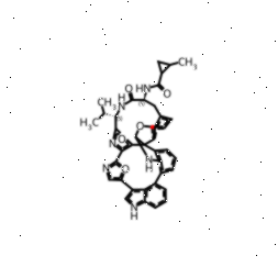 CC1CC1C(=O)N[C@H]1Cc2ccc3c(c2)C24c5cccc(c5NC2O3)-c2cccc3[nH]cc(c23)-c2cnc(o2)-c2nc(oc24)[C@H](C(C)C)NC1=O